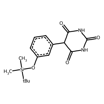 CC(C)(C)[Si](C)(C)Oc1cccc(C2C(=O)NC(=O)NC2=O)c1